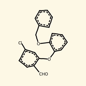 O=Cc1ccc(Cl)cc1Oc1ccccc1OCc1ccccc1